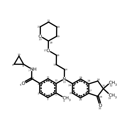 Cc1ccc(C(=O)NC2CC2)cc1N(CCCOC1CCCCO1)c1ccc2c(c1)CC(C)(C)C2=O